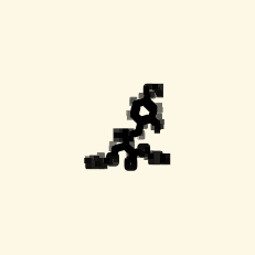 CC(C)(C)OCC(NCc1ccc(C#N)cc1F)C(=O)OC(C)(C)C